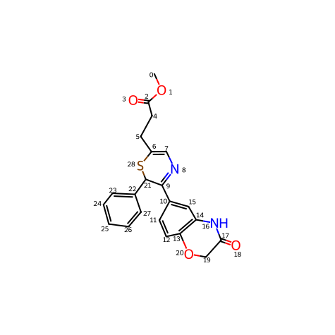 COC(=O)CCC1=CN=C(c2ccc3c(c2)NC(=O)CO3)C(c2ccccc2)S1